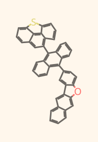 c1ccc2cc3c(cc2c1)oc1ccc(-c2c4ccccc4c(-c4cc5cccc6sc7cccc4c7c56)c4ccccc24)cc13